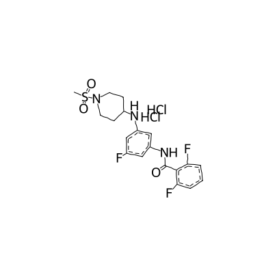 CS(=O)(=O)N1CCC(Nc2cc(F)cc(NC(=O)c3c(F)cccc3F)c2)CC1.Cl.Cl